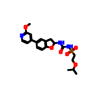 COc1cc(-c2ccc3c(c2)CC(NC(=O)NS(=O)(=O)CCOC(C)C)O3)ccn1